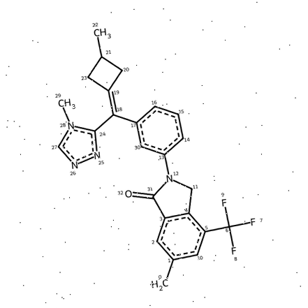 [CH2]c1cc2c(c(C(F)(F)F)c1)CN(c1cccc(C(=C3CC(C)C3)c3nncn3C)c1)C2=O